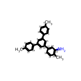 Cc1ccc(-c2cc(-c3ccc(C)cc3)cc(-c3ccc(C)c(N)c3)c2)cc1